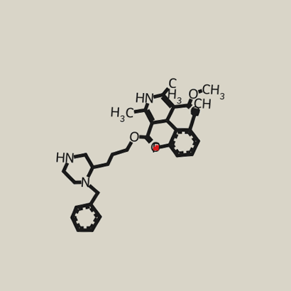 C#Cc1cccc(F)c1C1C(C(=O)OC)=C(C)NC(C)=C1C(=O)OCCCC1CNCCN1Cc1ccccc1